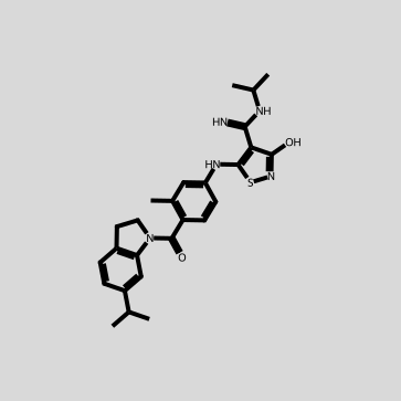 Cc1cc(Nc2snc(O)c2C(=N)NC(C)C)ccc1C(=O)N1CCc2ccc(C(C)C)cc21